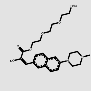 COCCOCCOCCOC(=O)C(C#N)=Cc1ccc2cc(N3CCN(C)CC3)ccc2c1